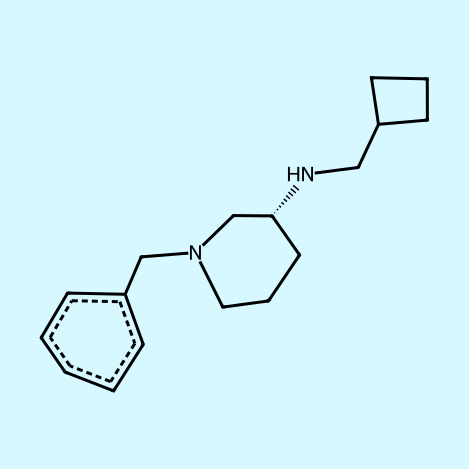 c1ccc(CN2CCC[C@@H](NCC3CCC3)C2)cc1